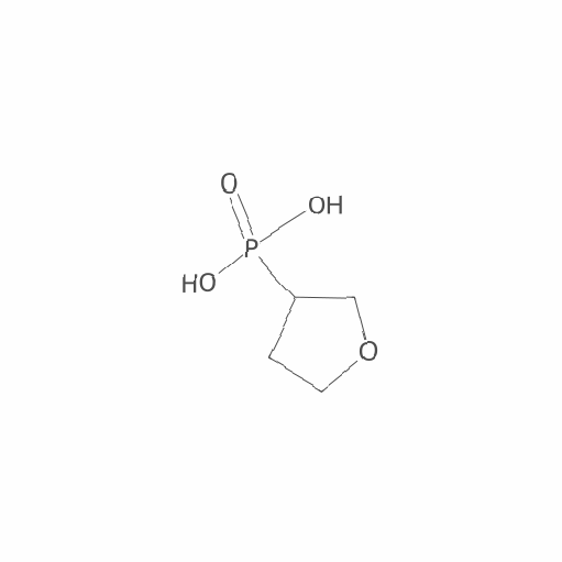 O=P(O)(O)C1CCOC1